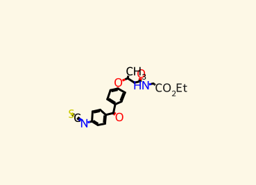 CCOC(=O)CNC(=O)CC(C)Oc1ccc(C(=O)c2ccc(N=C=S)cc2)cc1